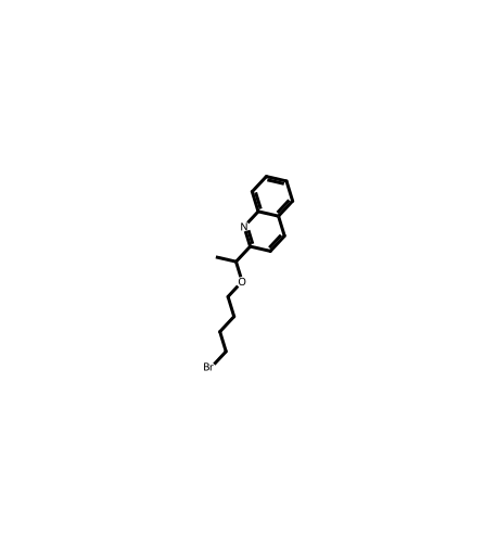 CC(OCCCCBr)c1ccc2ccccc2n1